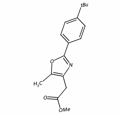 COC(=O)Cc1nc(-c2ccc(C(C)(C)C)cc2)oc1C